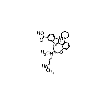 CNCCCN(C)[C@H]1COc2cccc(C)c2-c2c(C3CCCCC3)c3ccc(C(=O)O)cc3n2C1